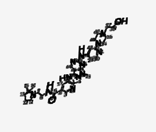 Cc1ncc(C(=O)NCCN2CCCC2(C)C)cc1Nc1nn(C)c2nc(Nc3ccnc(N4CCN(CCO)CC4)c3)ncc12